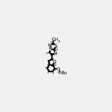 CCCCOc1cccc2cc(-c3cn4nc(C)sc4n3)oc12